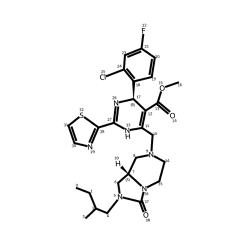 CCC(C)CN1C[C@@H]2CN(CC3=C(C(=O)OC)[C@H](c4ccc(F)cc4Cl)N=C(c4nccs4)N3)CCN2C1=O